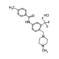 Cc1ccc(C(=O)Nc2ccc(CN3CCN(C)CC3)c(C(F)(F)F)c2)cc1.Cl